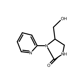 O=C1NCC(CO)N1c1ccccn1